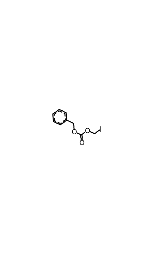 O=C(OCI)OCc1ccccc1